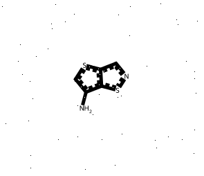 Nc1csc2cnsc12